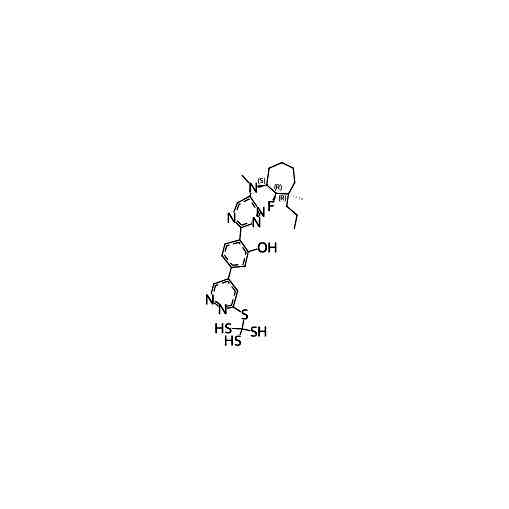 CCC[C@]1(C)CCCC[C@H](N(C)c2cnc(-c3ccc(-c4cnnc(SC(S)(S)S)c4)cc3O)nn2)[C@@H]1F